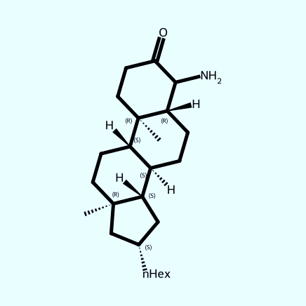 CCCCCC[C@H]1C[C@H]2[C@@H]3CC[C@H]4C(N)C(=O)CC[C@]4(C)[C@H]3CC[C@]2(C)C1